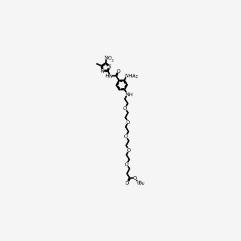 CC(=O)Nc1cc(NCCOCCOCCOCCOCCOCCC(=O)OC(C)(C)C)ccc1C(=O)Nc1nc(C)c([N+](=O)[O-])s1